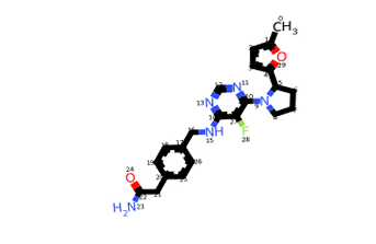 Cc1ccc(C2CCCN2c2ncnc(NCc3ccc(CC(N)=O)cc3)c2F)o1